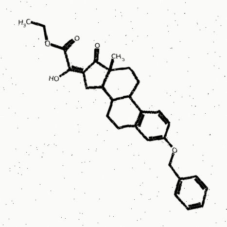 CCOC(=O)C(O)=C1CC2C3CCc4cc(OCc5ccccc5)ccc4C3CCC2(C)C1=O